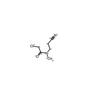 CN(CCC#N)C(=O)CCl